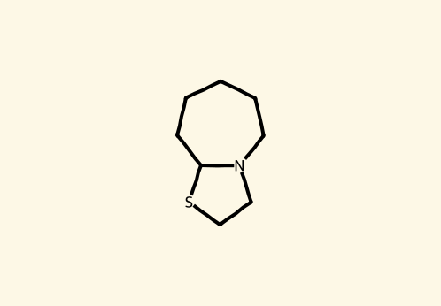 C1CCC2SCCN2CC1